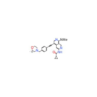 CNc1ncc(C#Cc2ccc(CN3CCO[C@@H](C)C3)cc2)c2cc(NC(=O)C3CC3)ncc12